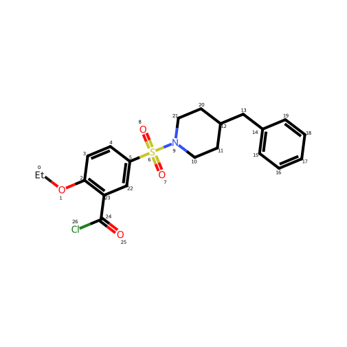 CCOc1ccc(S(=O)(=O)N2CCC(Cc3ccccc3)CC2)cc1C(=O)Cl